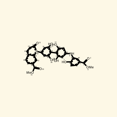 COC(=O)c1ccc(O)c(Nc2cc(O)c(-c3c(O)cc(-n4c(=O)ccc5ccc(C(=O)OC)cc54)cc3O)c(O)c2)c1